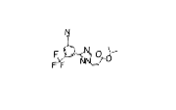 CC(C)OC(=O)/C=C\n1cnc(-c2cc(C#N)cc(C(F)(F)F)c2)n1